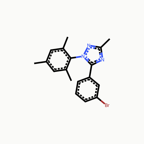 Cc1cc(C)c(-n2nc(C)nc2-c2cccc(Br)c2)c(C)c1